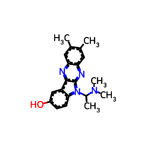 Cc1cc2nc3c4cc(O)ccc4n(C(C)N(C)C)c3nc2cc1C